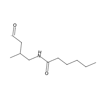 CCCCCC(=O)NCC(C)C[C]=O